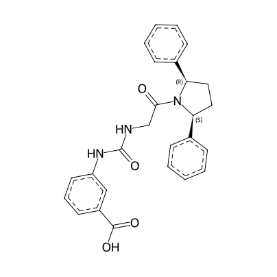 O=C(NCC(=O)N1[C@@H](c2ccccc2)CC[C@H]1c1ccccc1)Nc1cccc(C(=O)O)c1